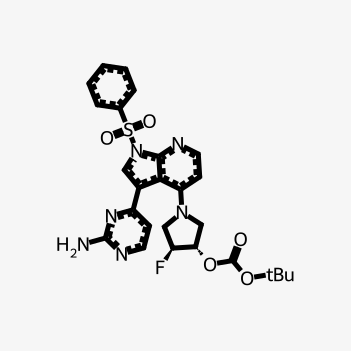 CC(C)(C)OC(=O)O[C@H]1CN(c2ccnc3c2c(-c2ccnc(N)n2)cn3S(=O)(=O)c2ccccc2)C[C@@H]1F